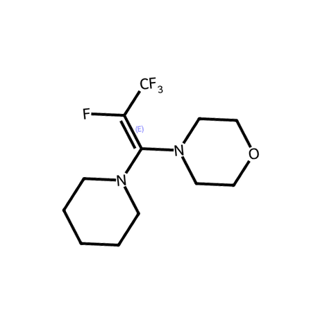 F/C(=C(\N1CCCCC1)N1CCOCC1)C(F)(F)F